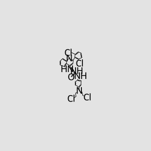 O=C(NNc1cc(-c2c(Cl)cccc2Cl)nc2ccccc12)Nc1ccc(N(CCCl)CCCl)cc1